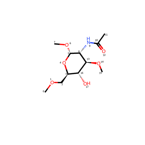 COC[C@H]1O[C@H](OC)[C@H](NC(C)=O)[C@@H](OC)[C@@H]1O